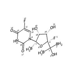 BC(B)(O)[C@@]1(F)O[C@@](B)(n2cc(F)c(=O)[nH]c2=O)[C@H](O)[C@@H]1O